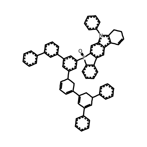 O=P1(c2cc(-c3cccc(-c4ccccc4)c3)cc(C3C=CC=C(C4=CC(c5ccccc5)=CC(c5ccccc5)C4)C3)c2)c2ccccc2-c2cc3c4c(n(-c5ccccc5)c3cc21)CCC=C4